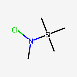 CN(Cl)[Si](C)(C)C